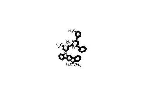 C=C/C=C(\C=C(/C)c1nc(-c2ccccc2)cc(-c2cccc(C)c2)n1)n1c2ccccc2c2cc3c(cc21)-c1ccccc1C3(C)C